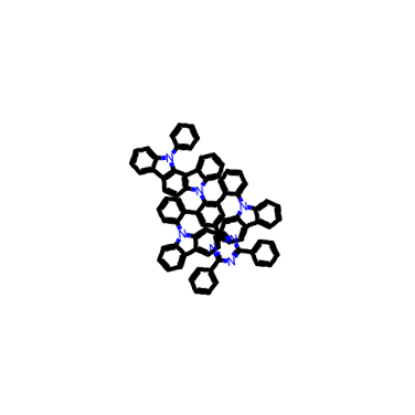 c1ccc(-c2nc(-c3ccccc3)nc(-c3cc(-c4ccccc4-n4c5ccccc5c5ccccc54)c(-n4c5ccccc5c5c4ccc4c6ccccc6n(-c6ccccc6)c45)c(-c4ccccc4-n4c5ccccc5c5ccccc54)c3)n2)cc1